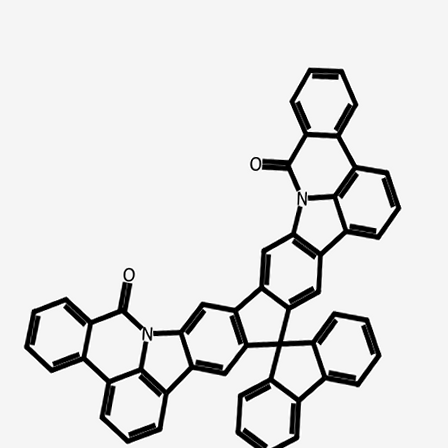 O=c1c2ccccc2c2cccc3c4cc5c(cc4n1c23)-c1cc2c(cc1C51c3ccccc3-c3ccccc31)c1cccc3c4ccccc4c(=O)n2c31